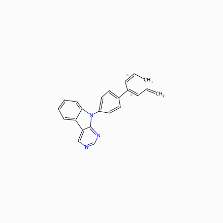 C=C/C=C(\C=C/C)c1ccc(-n2c3ccccc3c3cncnc32)cc1